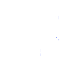 O=c1[nH]c2c(F)cccc2c2nccn12